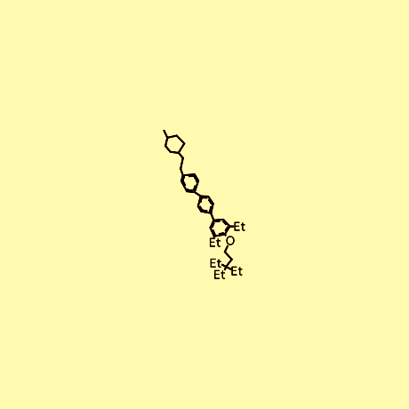 CCc1cc(-c2ccc(-c3ccc(CCC4CCC(C)CC4)cc3)cc2)cc(CC)c1OCCC(CC)(CC)CC